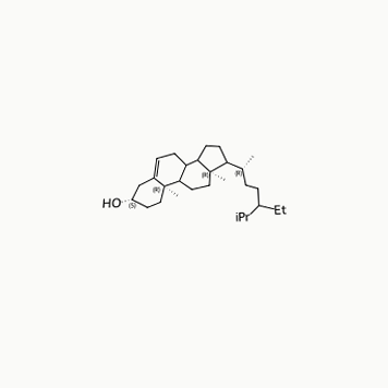 CCC(CC[C@@H](C)C1CCC2C3CC=C4C[C@@H](O)CC[C@]4(C)C3CC[C@@]21C)C(C)C